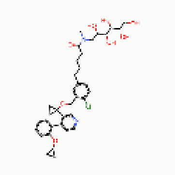 CN(C[C@@H](O)[C@H](O)[C@@H](O)[C@@H](O)CO)C(=O)CCCCc1ccc(Cl)c(COC2(c3cnccc3-c3ccccc3OC3CC3)CC2)c1